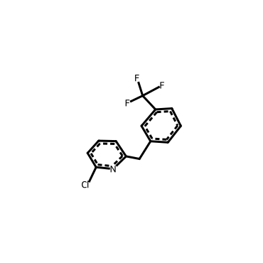 FC(F)(F)c1cccc(Cc2cccc(Cl)n2)c1